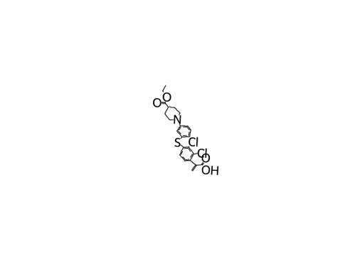 C=C(C(=O)O)c1ccc(Sc2cccc(N3CCC(C(=O)OCC)CC3)c2)c(Cl)c1Cl